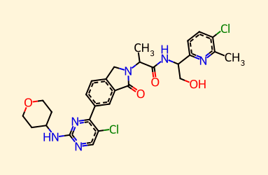 Cc1nc(C(CO)NC(=O)C(C)N2Cc3ccc(-c4nc(NC5CCOCC5)ncc4Cl)cc3C2=O)ccc1Cl